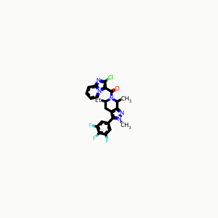 CCC1Cc2c(nn(C)c2-c2cc(F)c(F)c(F)c2)C(C)N1C(=O)c1c(Cl)nc2ccccn12